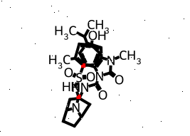 Cc1cc(O)ccc1S(=O)(=O)NCN1C2CCC1CC(NC(=O)n1c(=O)n(C)c3cc(C(C)C)ccc31)C2